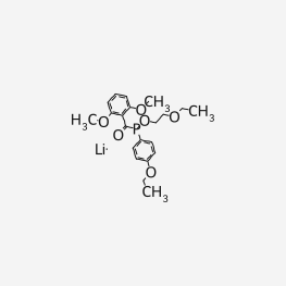 CCOCCOP(C(=O)c1c(OC)cccc1OC)c1ccc(OCC)cc1.[Li]